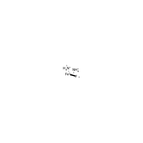 [F][Fe-2].[NH4+].[NH4+]